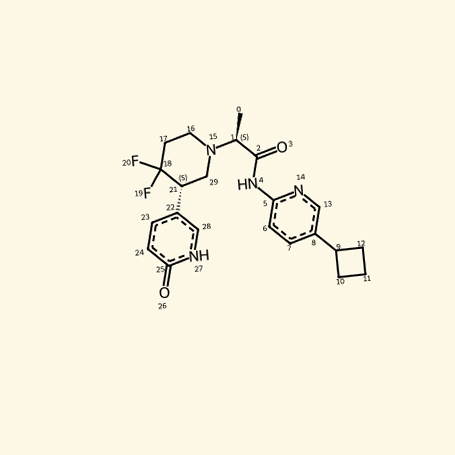 C[C@@H](C(=O)Nc1ccc(C2CCC2)cn1)N1CCC(F)(F)[C@@H](c2ccc(=O)[nH]c2)C1